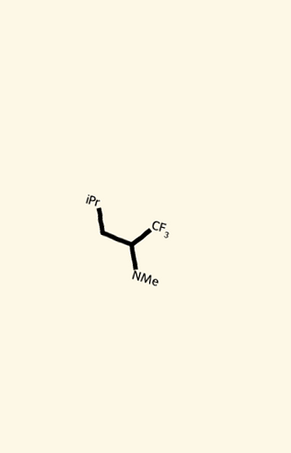 CNC(CC(C)C)C(F)(F)F